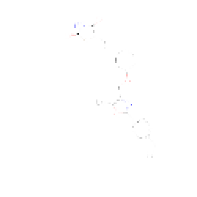 CCc1oc(-c2ccc(CC(C)C)cc2)nc1COC1CCC[C@@H](CCC2SC(=O)NC2=O)C1